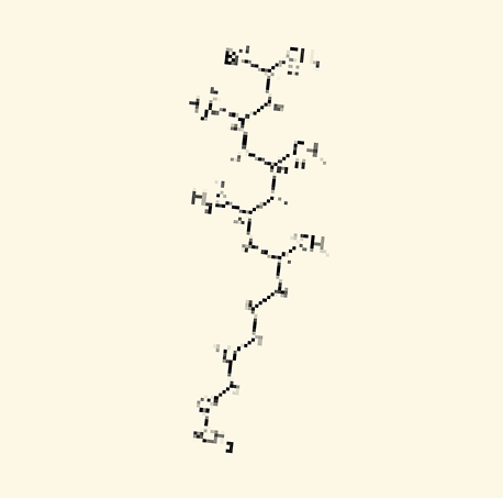 COCOCCCC(C)CC(C)CC(C)CC(C)CC(C)Br